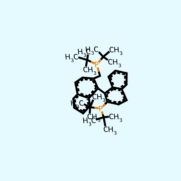 CC(C)(C)P(Cc1ccc2ccccc2c1-c1c(P(C(C)(C)C)C(C)(C)C)ccc2ccccc12)C(C)(C)C